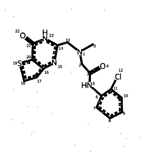 CN(CC(=O)Nc1ccccc1Cl)Cc1nc2ccsc2c(=O)[nH]1